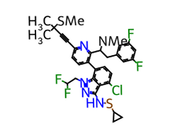 CNC(Cc1cc(F)cc(F)c1)c1nc(C#CC(C)(C)SC)ccc1-c1ccc(Cl)c2c(NSC3CC3)nn(CC(F)F)c12